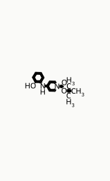 CC(C)(C)OC(=O)N1CCC(NC2CCCC[C@@H]2O)CC1